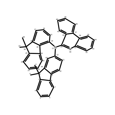 CC1(C)c2ccccc2-c2ccc(N(c3cccc4c3-c3ccccc3C4(C)C)c3nc4ccccc4c4ccccc34)cc21